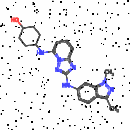 Cc1nn(C)c2cc(Nc3nc4cccc(NC5CCC(O)CC5)n4n3)ccc12